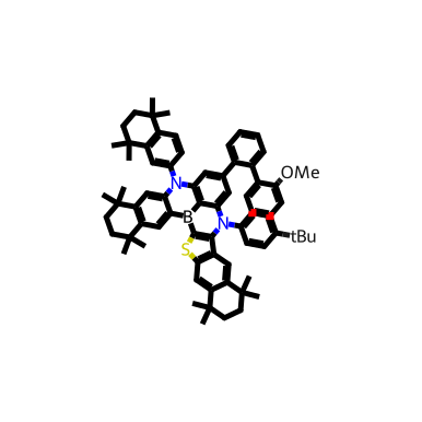 COc1ccccc1-c1ccccc1-c1cc2c3c(c1)N(c1ccc(C(C)(C)C)cc1)c1c(sc4cc5c(cc14)C(C)(C)CCC5(C)C)B3c1cc3c(cc1N2c1ccc2c(c1)C(C)(C)CCC2(C)C)C(C)(C)CCC3(C)C